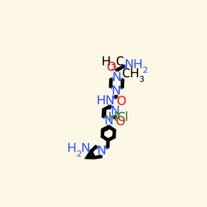 CC(C)(N)C(=O)N1CCN(C(=O)Nc2ccn(C3=CCC(CN4CC5CC5(N)C4)CC3)c(=O)n2)CC1.Cl